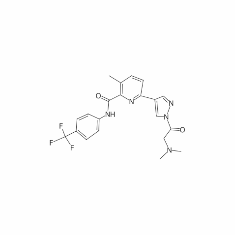 Cc1ccc(-c2cnn(C(=O)CN(C)C)c2)nc1C(=O)Nc1ccc(C(F)(F)F)cc1